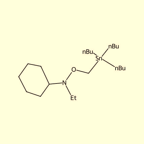 CCC[CH2][Sn]([CH2]CCC)([CH2]CCC)[CH2]ON(CC)C1CCCCC1